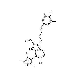 Cc1cc(OCCCc2c(C=O)[nH]c3c(-c4c(C)nn(C)c4C)c(Cl)ccc23)cc(C)c1Cl